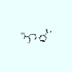 NC(=O)c1ccc(-c2cccc([N+](=O)[O-])c2)nc1Cl